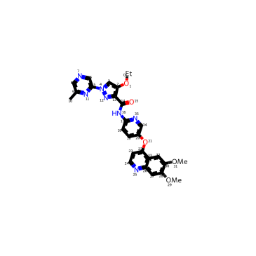 CCOc1cn(-c2cncc(C)n2)nc1C(=O)Nc1ccc(Oc2ccnc3cc(OC)c(OC)cc23)cn1